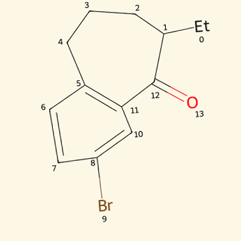 CCC1CCCc2ccc(Br)cc2C1=O